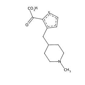 CN1CCC(Cc2ccsc2C(=O)C(=O)O)CC1